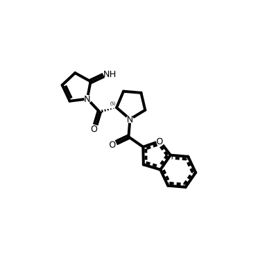 N=C1CC=CN1C(=O)[C@@H]1CCCN1C(=O)c1cc2ccccc2o1